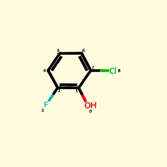 Oc1c(F)c[c]cc1Cl